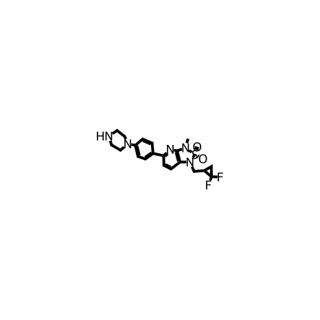 CN1c2nc(-c3ccc(N4CCNCC4)cc3)ccc2N(CC2CC2(F)F)S1(=O)=O